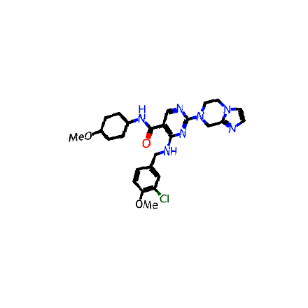 COc1ccc(CNc2nc(N3CCn4ccnc4C3)ncc2C(=O)NC2CCC(OC)CC2)cc1Cl